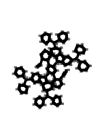 N#Cc1ccccc1-c1cc(-n2c3ccc(N(c4ccccc4)c4ccccc4)cc3c3cc(N(c4ccccc4)c4ccccc4)ccc32)c(-c2ccccc2C#N)cc1-n1c2ccc(N(c3ccccc3)c3ccccc3)cc2c2cc(N(c3ccccc3)c3ccccc3)ccc21